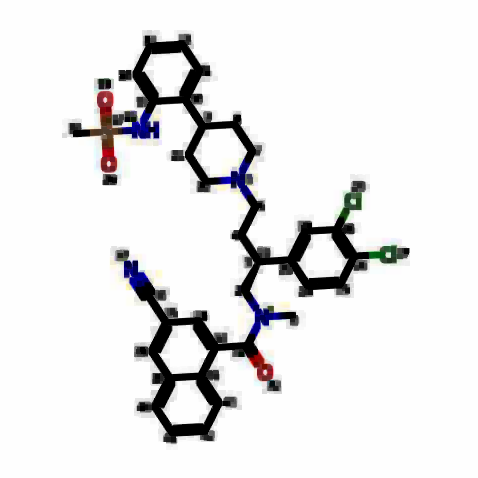 CN(C[C@@H](CCN1CCC(c2ccccc2NS(C)(=O)=O)CC1)c1ccc(Cl)c(Cl)c1)C(=O)c1cc(C#N)cc2ccccc12